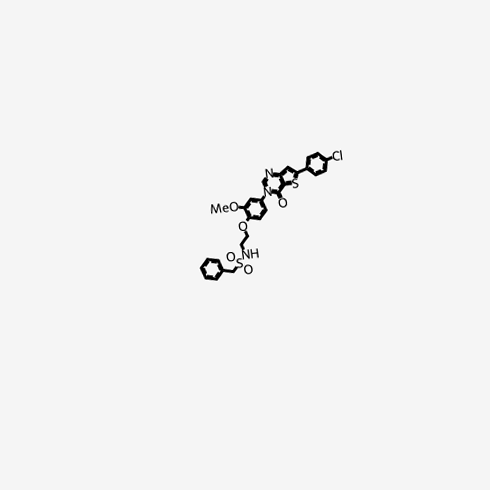 COc1cc(-n2cnc3cc(-c4ccc(Cl)cc4)sc3c2=O)ccc1OCCNS(=O)(=O)Cc1ccccc1